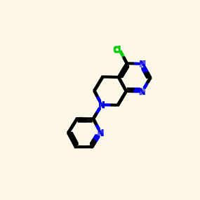 Clc1ncnc2c1CCN(c1ccccn1)C2